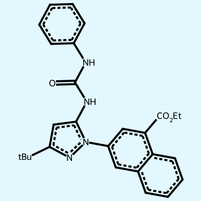 CCOC(=O)c1cc(-n2nc(C(C)(C)C)cc2NC(=O)Nc2ccccc2)cc2ccccc12